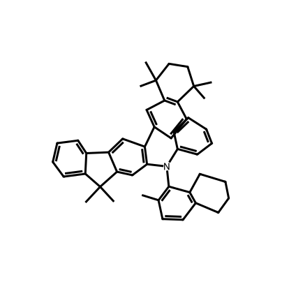 Cc1ccc2c(c1N(c1ccccc1)c1cc3c(cc1-c1ccc4c(c1)C(C)(C)CCC4(C)C)-c1ccccc1C3(C)C)CCCC2